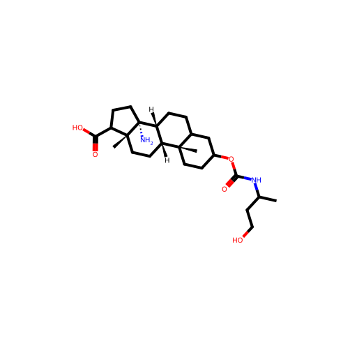 CC(CCO)NC(=O)OC1CC[C@@]2(C)C(CC[C@@H]3[C@H]2CC[C@]2(C)C(C(=O)O)CC[C@@]32N)C1